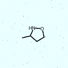 CC1C[CH]ON1